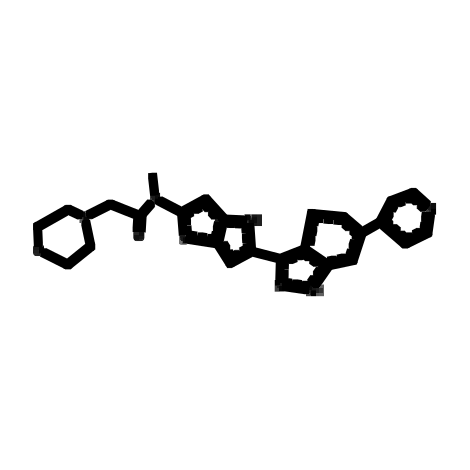 CN(C(=O)CN1CCOCC1)c1cc2[nH]c(-c3n[nH]c4cc(-c5ccncc5)ccc34)cc2s1